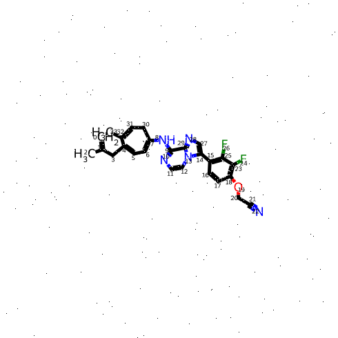 C=C(C)CC1=CC=C(Nc2nccn3c(-c4ccc(OCC#N)c(F)c4F)cnc23)CC=C1C